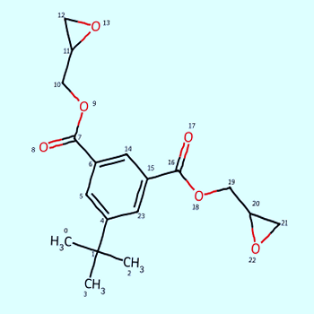 CC(C)(C)c1cc(C(=O)OCC2CO2)cc(C(=O)OCC2CO2)c1